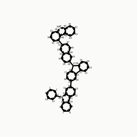 c1ccc(-n2c3ccccc3c3ccc(-c4ccc5c(c4)-c4ccccc4C5c4ccc5cc(-c6cccc7sc8ccccc8c67)ccc5c4)cc32)cc1